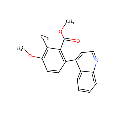 COC(=O)c1c(-c2ccnc3ccccc23)ccc(OC)c1C